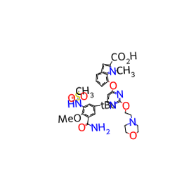 COc1c(NS(C)(=O)=O)cc(C(C)(C)C)cc1C(N)=O.Cn1c(C(=O)O)cc2cccc(Oc3ccnc(OCCN4CCOCC4)n3)c21